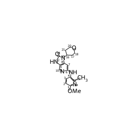 COc1ccc(Nc2cc3c(cn2)[nH]c(=O)n3C2CCOCC2)c(C)n1